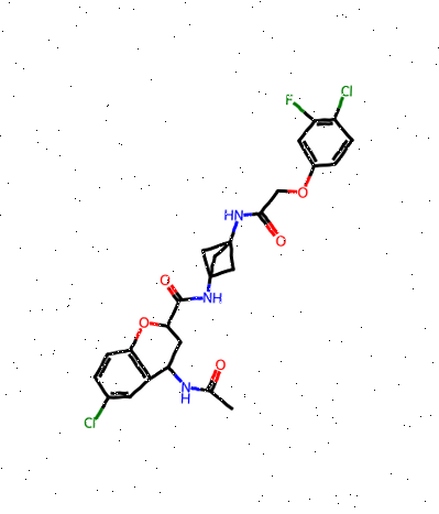 CC(=O)NC1CC(C(=O)NC23CC(NC(=O)COc4ccc(Cl)c(F)c4)(C2)C3)Oc2ccc(Cl)cc21